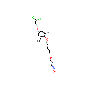 CCc1cc(OCC=C(Cl)Cl)cc(C)c1OCCCCCOCCC=NO